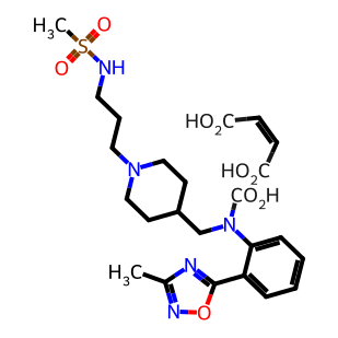 Cc1noc(-c2ccccc2N(CC2CCN(CCCNS(C)(=O)=O)CC2)C(=O)O)n1.O=C(O)/C=C\C(=O)O